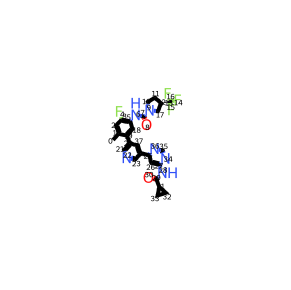 Cc1cc(F)c(NC(=O)N2CC[C@H](C(F)(F)F)C2)cc1-c1cncc(-c2cc(NC(=O)C3CC3)ncn2)c1